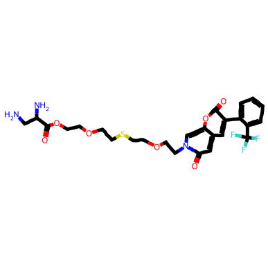 NCC(N)C(=O)OCCOCCSCCOCCn1cc2oc(=O)c(-c3ccccc3C(F)(F)F)cc2cc1=O